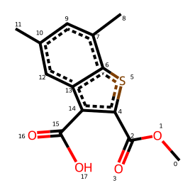 COC(=O)c1sc2c(C)cc(C)cc2c1C(=O)O